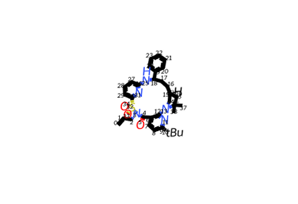 C=CCN1C(=O)c2ccc(C(C)(C)C)nc2N2C[C@@H](CCC(c3ccccc3)Nc3cccc(n3)S1(=O)=O)CC2(C)C